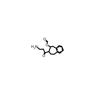 NCCC(=O)C1CCc2ccccc2CC1OC=O